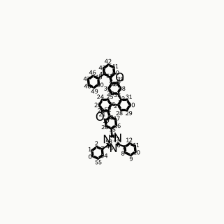 c1ccc(-c2nc(-c3ccccc3)nc(-c3ccc4c(c3)oc3cccc(-c5ccccc5-c5ccc6c(c5)oc5cccc(-c7ccccc7)c56)c34)n2)cc1